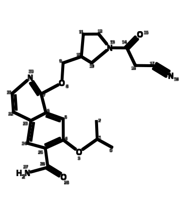 CC(C)Oc1cc2c(OCC3CCN(C(=O)CC#N)C3)nccc2cc1C(N)=O